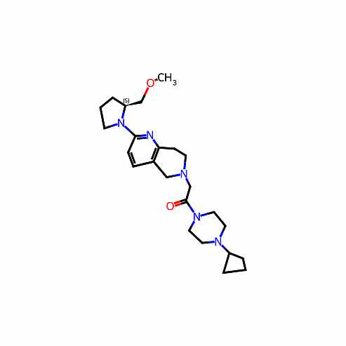 COC[C@@H]1CCCN1c1ccc2c(n1)CCN(CC(=O)N1CCN(C3CCC3)CC1)C2